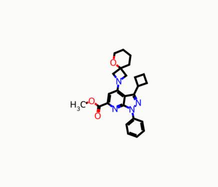 COC(=O)c1cc(N2CC3(CCCCO3)C2)c2c(C3CCC3)nn(-c3ccccc3)c2n1